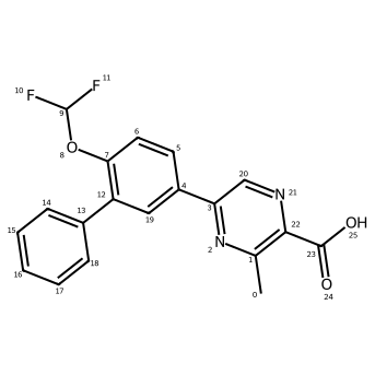 Cc1nc(-c2ccc(OC(F)F)c(-c3ccccc3)c2)cnc1C(=O)O